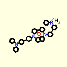 CN(c1ccccc1)c1cccc(-c2cccc(N(c3ccccc3)c3cccc4c3oc3c(N(C5=CCC(c6ccc(N(c7ccccc7)c7ccccc7)cc6)C=C5)c5ccccc5)cccc34)c2)c1